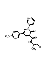 CC(CO)NC(=O)c1cc(-c2ccc(C(F)(F)F)nc2)nn(-c2cccnc2)c1=O